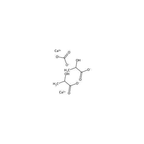 CC(O)C(=O)[O-].CC(O)C(=O)[O-].O=C([O-])[O-].[Ca+2].[Ca+2]